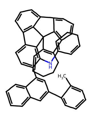 Cc1ccccc1-c1cc(-c2ccc3c(c2NC2=CCCC=C2)C24C5=C(CCCC=C5)c5cccc(c52)-c2cccc-3c24)c2ccccc2c1